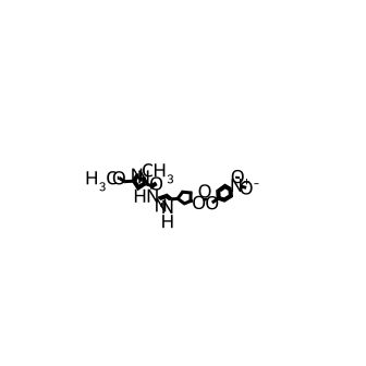 COCc1cc(C(=O)Nc2cc(C3CCC(OC(=O)Oc4ccc([N+](=O)[O-])cc4)C3)[nH]n2)n(C)n1